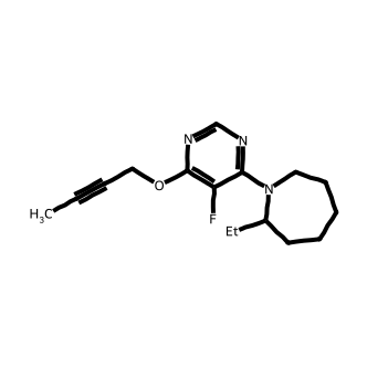 CC#CCOc1ncnc(N2CCCCCC2CC)c1F